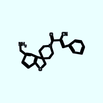 N#CC(=Cc1ccccc1)C(=O)N1CCC2(CC1)COc1ccc(CN)cc12